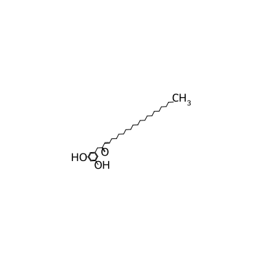 CCCCCCCCCCCCCCCCCCCC=CC(=O)Cc1cc(O)cc(O)c1